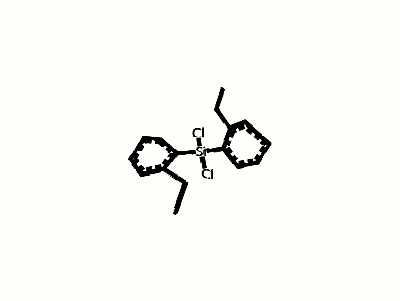 CCc1ccccc1[Si](Cl)(Cl)c1ccccc1CC